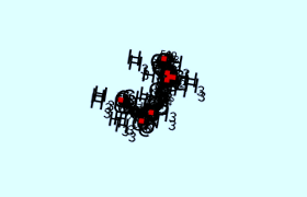 CCn1c(-c2cccnc2[C@H](C)OC)c(CC(C)(C)COC(=O)[C@@H]2CCCN(C(=O)[C@H](CN3CC(Br)=CC(O[Si](c4ccccc4)(c4ccccc4)C(C)(C)C)C3)NC(=O)OC(C)(C)C)N2)c2cc(B3OC(C)(C)C(C)(C)O3)ccc21